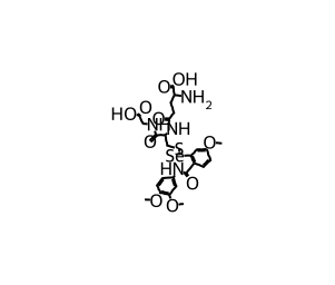 COc1ccc(C(=O)Nc2ccc(OC)c(OC)c2)c([Se]SCC(NC(=O)CCC(N)C(=O)O)C(=O)NCC(=O)O)c1